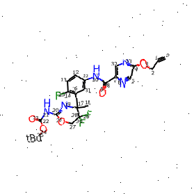 C#CCOc1cnc(C(=O)Nc2ccc(F)c(C3(C)N=C(NC(=O)OC(C)(C)C)OCC3(F)F)c2)cn1